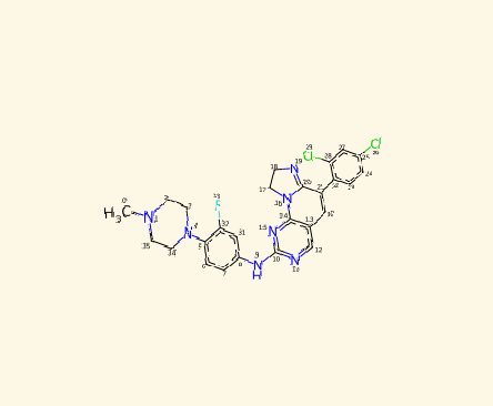 CN1CCN(c2ccc(Nc3ncc4c(n3)N3CCN=C3C(c3ccc(Cl)cc3Cl)=C4)cc2F)CC1